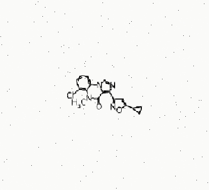 Cn1c(=O)c2c(-c3cc(C4CC4)on3)ncn2c2cccc(Cl)c21